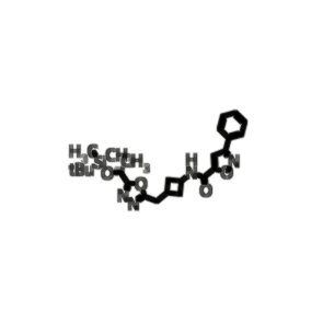 C[C@@H](O[Si](C)(C)C(C)(C)C)c1nnc(CC2CC(NC(=O)c3cc(-c4ccccc4)no3)C2)o1